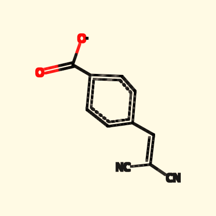 N#CC(C#N)=Cc1ccc(C([O])=O)cc1